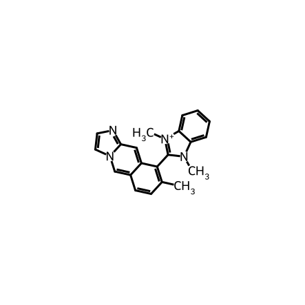 Cc1ccc2cn3ccnc3cc2c1-c1n(C)c2ccccc2[n+]1C